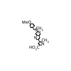 COc1ccc(CN(C)c2cc3ncc(-c4cc(C(=O)O)cnc4C)cc3cn2)cc1